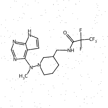 CN(c1ncnc2[nH]ccc12)N1CCCC(CNC(=O)C(F)(F)C(F)(F)F)C1